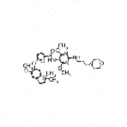 COc1cc2c(cc1Oc1ccc(C(=O)Nc3c(OC)nc(NCCCN4CCOCC4)nc3OC)o1)[Si](C)(C)C=C2